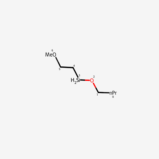 CCCCO[SiH2]CCOC